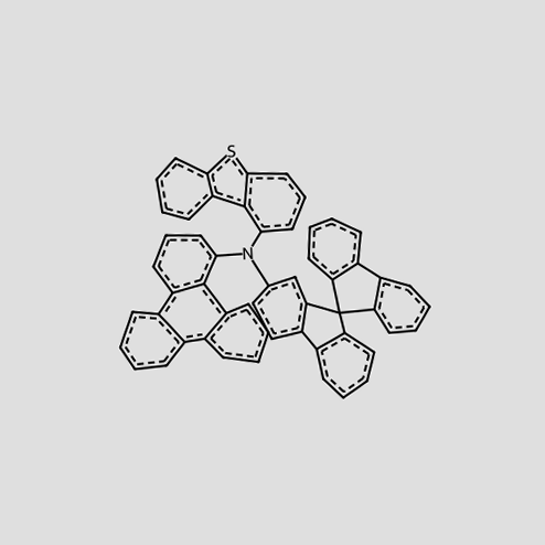 c1ccc2c(c1)-c1ccccc1C21c2ccccc2-c2ccc(N(c3cccc4sc5ccccc5c34)c3cccc4c5ccccc5c5ccccc5c34)cc21